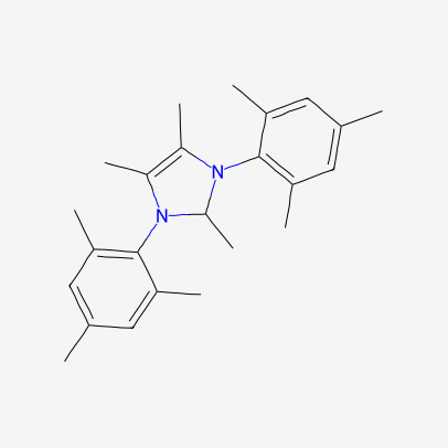 CC1=C(C)N(c2c(C)cc(C)cc2C)C(C)N1c1c(C)cc(C)cc1C